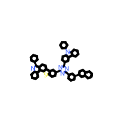 c1ccc(-c2nc3ccccc3c3c2ccc2c4cc(-c5nc(-c6cccc(-c7ccc8ccccc8c7)c6)nc(-c6ccc7c(c6)c6ccccc6n7-c6ccccc6)n5)ccc4sc23)cc1